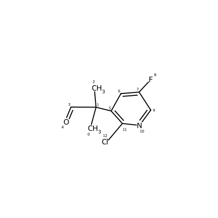 CC(C)(C=O)c1cc(F)cnc1Cl